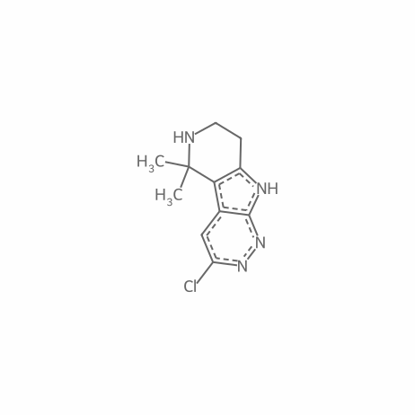 CC1(C)NCCc2[nH]c3nnc(Cl)cc3c21